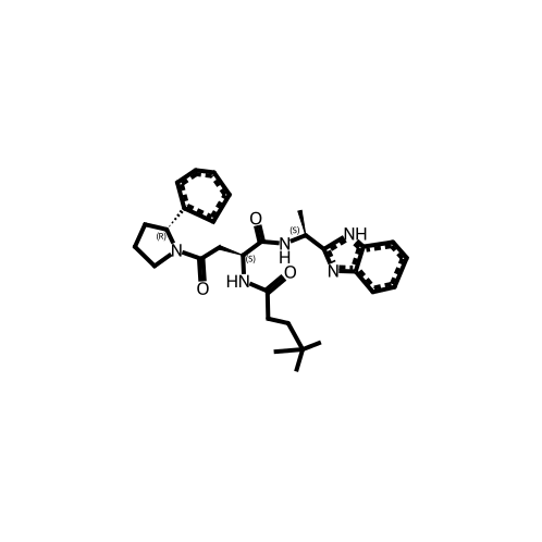 C[C@H](NC(=O)[C@H](CC(=O)N1CCC[C@@H]1c1ccccc1)NC(=O)CCC(C)(C)C)c1nc2ccccc2[nH]1